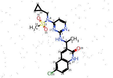 CC(Nc1nccc(N(CC2CC2)S(C)(=O)=O)n1)c1cc2cc(Cl)ccc2[nH]c1=O